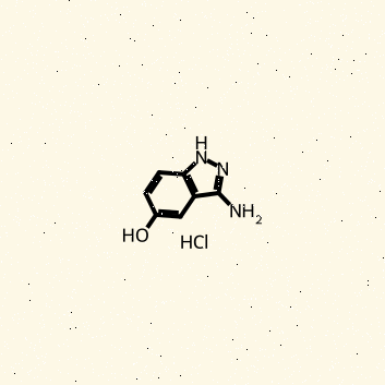 Cl.Nc1n[nH]c2ccc(O)cc12